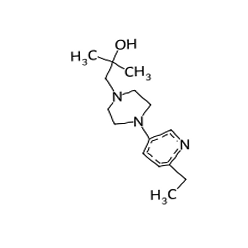 CCc1ccc(N2CCN(CC(C)(C)O)CC2)cn1